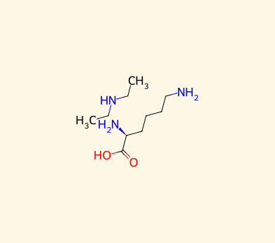 CCNCC.NCCCC[C@H](N)C(=O)O